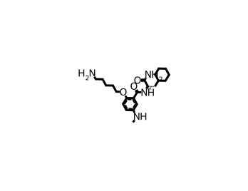 CNc1ccc(OCCCCCN)c(C(=O)N[C@@H](CC2CCCCC2)C(N)=O)c1